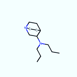 CCCN(CCC)C1C[N+]2CCC1CC2